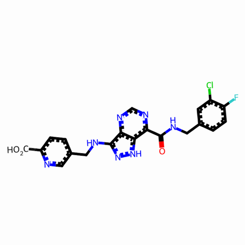 O=C(O)c1ccc(CNc2n[nH]c3c(C(=O)NCc4ccc(F)c(Cl)c4)ncnc23)cn1